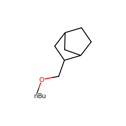 CCCCOCC1CC2CCC1C2